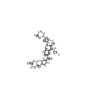 Cc1sc(C2CCCN(C)C2)nc1-c1cc2cnc(Nc3ccc(OC4CCNCC4)cc3)nc2n(CC(F)(F)F)c1=O